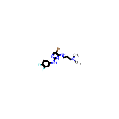 CN(C)CCCNc1nc(Nc2ccc(F)c(F)c2)ncc1Br